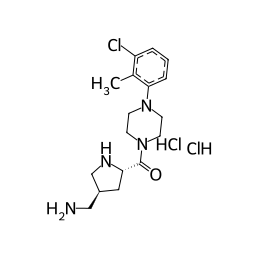 Cc1c(Cl)cccc1N1CCN(C(=O)[C@@H]2C[C@@H](CN)CN2)CC1.Cl.Cl